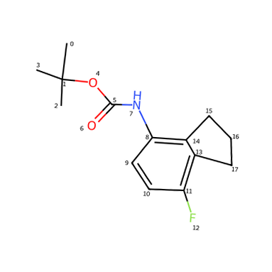 CC(C)(C)OC(=O)Nc1ccc(F)c2c1CCC2